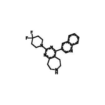 FC1(F)CCN(c2nc3c(c(-c4cnc5ccccc5c4)n2)CCNCC3)CC1